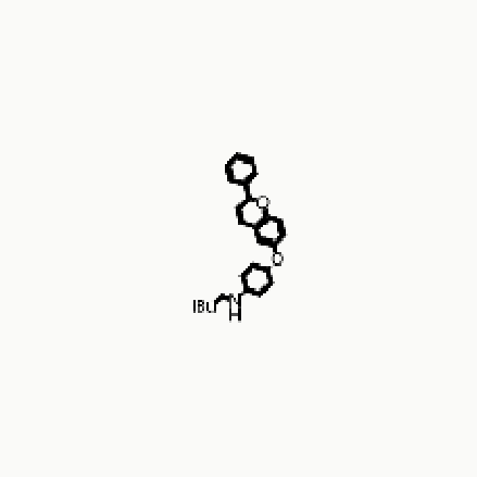 CCC(C)CN[C@H]1CC[C@H](Oc2ccc3c(c2)CCC(c2ccccc2)O3)CC1